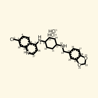 Cl.Cl.Clc1ccc2c(NC3CCC(NCc4ccc5c(c4)OCO5)CC3)ccnc2c1